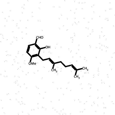 COc1c[c]c(C=O)c(O)c1C/C=C(\C)CCC=C(C)C